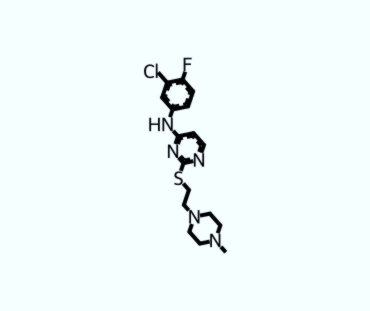 CN1CCN(CCSc2nccc(Nc3ccc(F)c(Cl)c3)n2)CC1